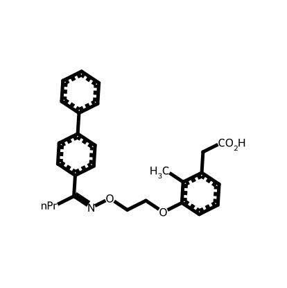 CCCC(=NOCCOc1cccc(CC(=O)O)c1C)c1ccc(-c2ccccc2)cc1